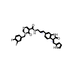 O=C1Nc2cc(/C=C/CNC(=O)c3cncn(Cc4ccc(F)c(F)c4)c3=O)ccc2/C1=C/c1ccc[nH]1